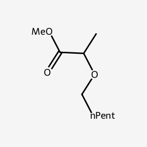 CCCCCCOC(C)C(=O)OC